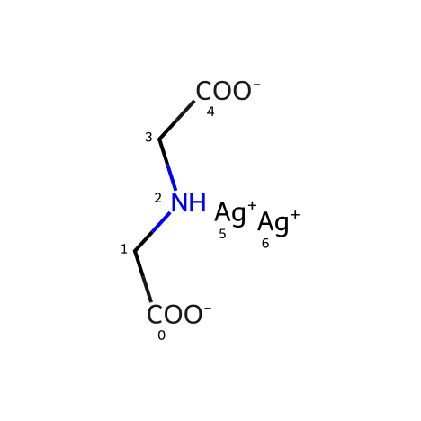 O=C([O-])CNCC(=O)[O-].[Ag+].[Ag+]